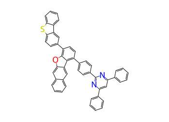 c1ccc(-c2cc(-c3ccccc3)nc(-c3ccc(-c4ccc(-c5ccc6sc7ccccc7c6c5)c5oc6cc7ccccc7cc6c45)cc3)n2)cc1